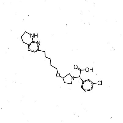 O=C(O)[C@@H](c1cccc(Cl)c1)N1CC[C@@H](OCCCCCc2ccc3c(n2)NCCC3)C1